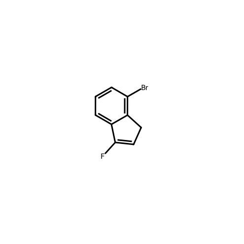 FC1=CCc2c(Br)cccc21